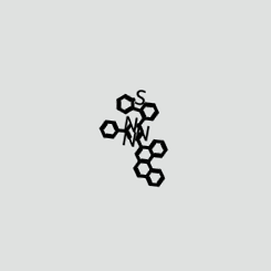 c1ccc(-c2nc(-c3cc4ccc5ccccc5c4c4ccccc34)nc(-c3cccc4sc5ccccc5c34)n2)cc1